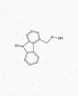 O=C1c2ccccc2-c2c(COO)cccc21